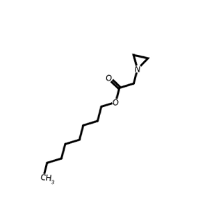 CCCCCCCCOC(=O)CN1CC1